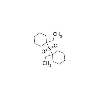 CCC1(S(=O)(=O)C2(CC)CCCCC2)CCCCC1